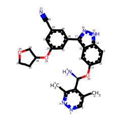 Cc1cnnc(C)c1[C@@H](N)Oc1ccc2[nH]nc(-c3cc(C#N)cc(OC4CCOC4)c3)c2c1